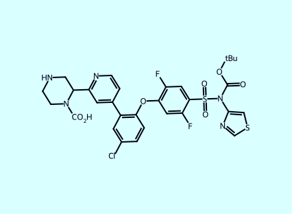 CC(C)(C)OC(=O)N(c1cscn1)S(=O)(=O)c1cc(F)c(Oc2ccc(Cl)cc2-c2ccnc(C3CNCCN3C(=O)O)c2)cc1F